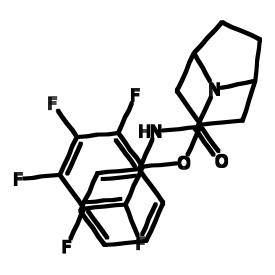 O=C(Nc1ccccc1)N1C2CCC1CC(Oc1c(F)c(F)c(F)c(F)c1F)C2